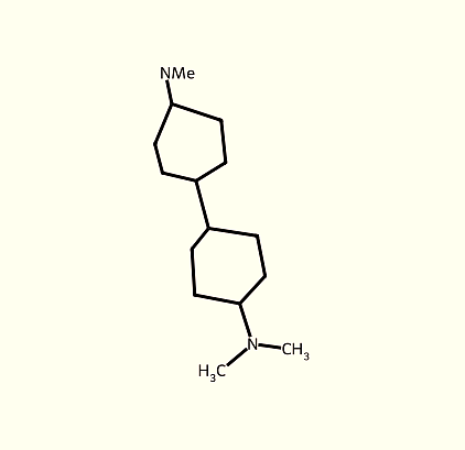 CNC1CCC(C2CCC(N(C)C)CC2)CC1